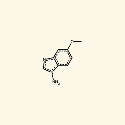 COc1ccc2c(c1)ncn2N